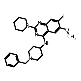 COc1cc2c(NC3CCN(Cc4ccccc4)CC3)nc(N3CCCCC3)nc2cc1I